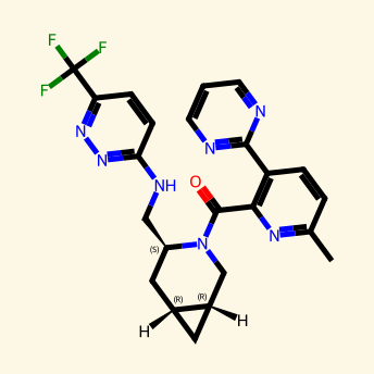 Cc1ccc(-c2ncccn2)c(C(=O)N2C[C@@H]3C[C@@H]3C[C@H]2CNc2ccc(C(F)(F)F)nn2)n1